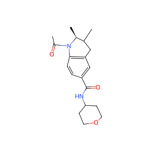 CC(=O)N1c2ccc(C(=O)NC3CCOCC3)cc2CC(C)[C@@H]1C